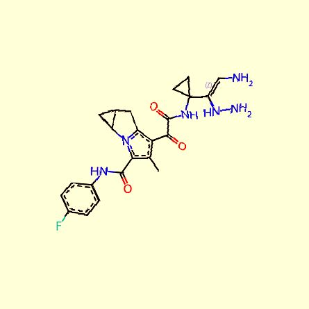 Cc1c(C(=O)C(=O)NC2(/C(=C/N)NN)CC2)c2n(c1C(=O)Nc1ccc(F)cc1)C1CC1C2